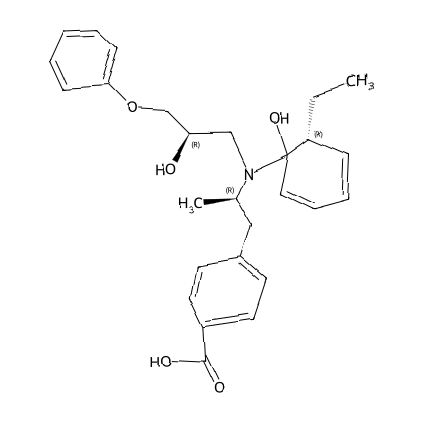 CC[C@@H]1C=CC=CC1(O)N(C[C@@H](O)COc1ccccc1)[C@H](C)Cc1ccc(C(=O)O)cc1